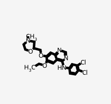 CCOc1cc2c(Nc3ccc(Cl)c(Cl)c3)ncnc2cc1OCC1CN(C)CCO1